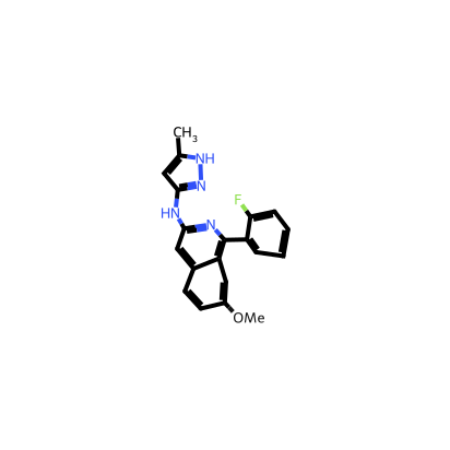 COc1ccc2cc(Nc3cc(C)[nH]n3)nc(-c3ccccc3F)c2c1